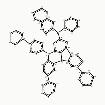 c1ccc(-c2ccc(N3c4ccc(-c5ccccc5)cc4B4c5cc(-c6ccccc6)ccc5-c5cc(N(c6ccccc6)c6ccc7ccccc7c6)cc3c54)cc2)cc1